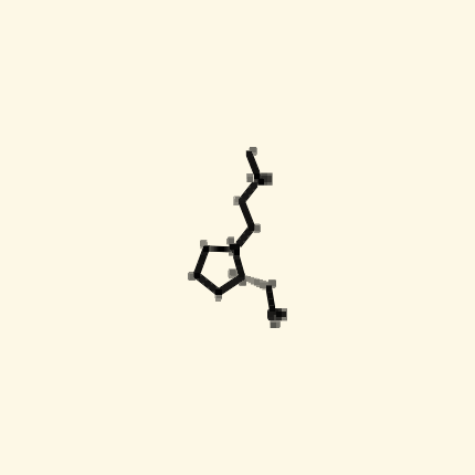 CNCCN1CCC[C@H]1CO